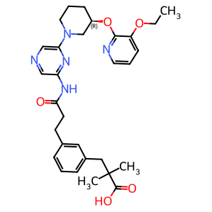 CCOc1cccnc1O[C@@H]1CCCN(c2cncc(NC(=O)CCc3cccc(CC(C)(C)C(=O)O)c3)n2)C1